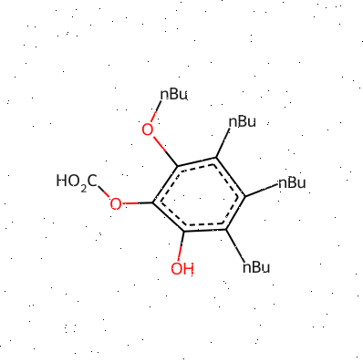 CCCCOc1c(CCCC)c(CCCC)c(CCCC)c(O)c1OC(=O)O